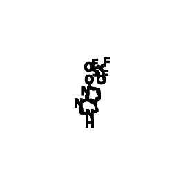 O=S(=O)(Oc1ccc2c(n1)N=CNC2)C(F)(F)F